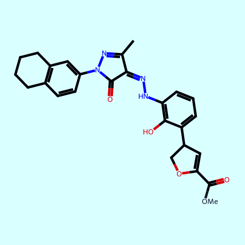 COC(=O)C1=CC(c2cccc(N/N=C3\C(=O)N(c4ccc5c(c4)CCCC5)N=C3C)c2O)CO1